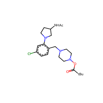 CC(=O)NC1CCN(c2cc(Cl)ccc2CN2CCN(OC(=O)C(C)(C)C)CC2)C1